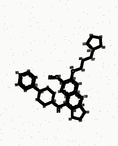 COc1nc2c(NC3CCN(c4ccncc4)CC3)c3c(nc2cc1OCCCN1CCCC1)CCC3